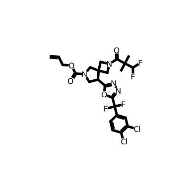 C=CCOC(=O)N1CC(c2nnc(C(F)(F)c3ccc(Cl)c(Cl)c3)o2)C2(C1)CN(C(=O)C(C)(C)C(F)F)C2